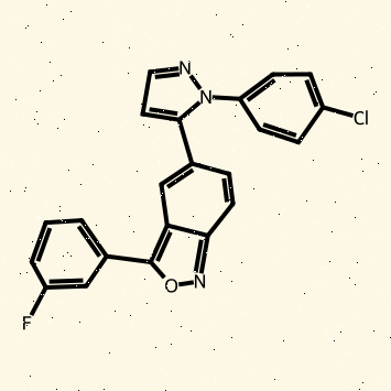 Fc1cccc(-c2onc3ccc(-c4ccnn4-c4ccc(Cl)cc4)cc23)c1